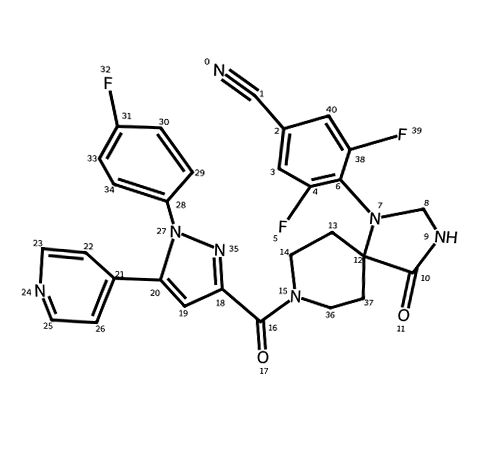 N#Cc1cc(F)c(N2CNC(=O)C23CCN(C(=O)c2cc(-c4ccncc4)n(-c4ccc(F)cc4)n2)CC3)c(F)c1